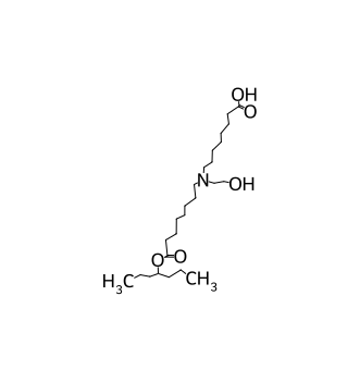 CCCC(CCC)OC(=O)CCCCCCCN(CCO)CCCCCCCC(=O)O